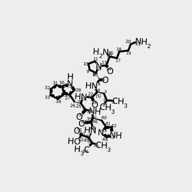 CC(C)C[C@H](NC(=O)[C@@H]1CCCN1C(=O)[C@@H](N)CCCCN)C(=O)N[C@@H](Cc1c[nH]c2ccccc12)C(=O)N[C@@H](Cc1c[nH]cn1)C(=O)N[C@H](C(=O)O)C(C)C